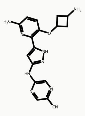 Cc1ccc(OC2CC(N)C2)c(-c2cc(Nc3cnc(C#N)cn3)n[nH]2)n1